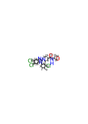 Cc1ccc(-n2c(N3CCC(C(=O)NC4CCOC4)CC3)nc3cc(Cl)c(Cl)cc32)cc1Cl